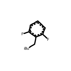 CCC(C)Cc1c(F)cccc1F